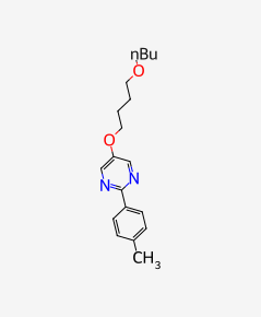 CCCCOCCCCOc1cnc(-c2ccc(C)cc2)nc1